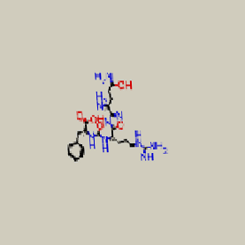 N=C(N)NCCC[C@H](NC(=O)N[C@@H](Cc1ccccc1)C(=O)O)c1nc([C@@H](N)CCC(N)O)no1